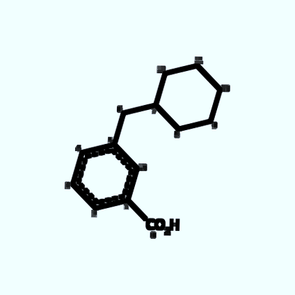 O=C(O)c1cccc(CC2CCCCC2)c1